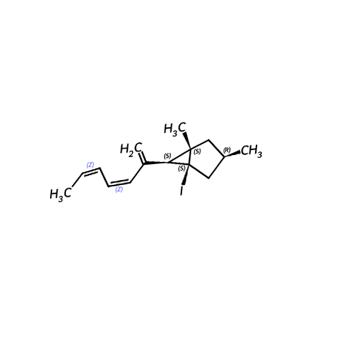 C=C(/C=C\C=C/C)[C@H]1[C@]2(C)C[C@@H](C)C[C@]12I